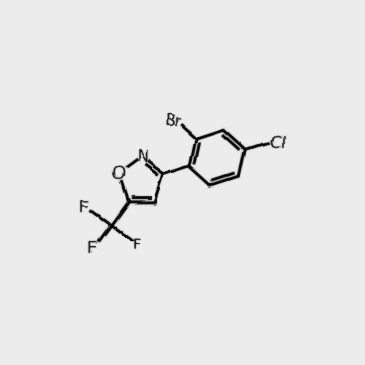 FC(F)(F)c1cc(-c2ccc(Cl)cc2Br)no1